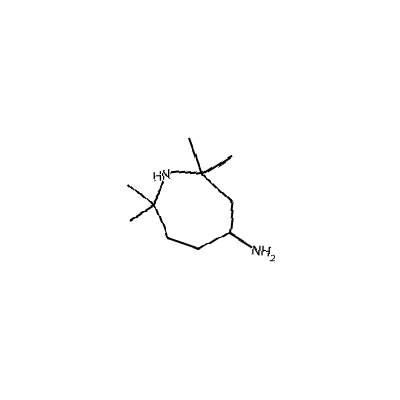 CC1(C)CCC(N)CC(C)(C)N1